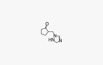 O=C1CCCC1CN1C=NCN1